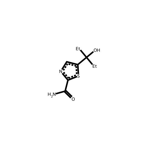 CCC(O)(CC)c1cnc(C(N)=O)s1